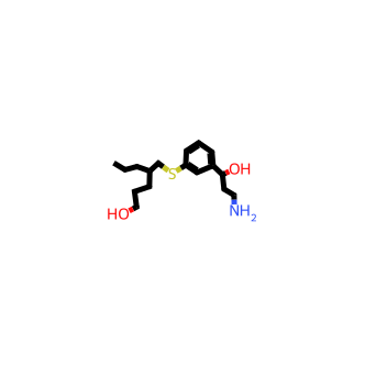 CCCC(CCCO)CSc1cccc(C(O)CCN)c1